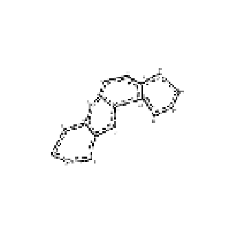 [c]1cc2nc3ccccc3nc2c2ccccc12